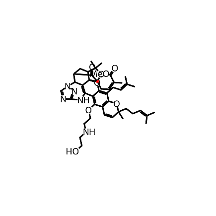 COC(=O)/C(C)=C\CC12OC(C)(C)C3CC(C1=O)C1C4=C(Nc5ncn1n5)c1c(OCCNCCO)c5c(c(CC=C(C)C)c1OC432)OC(C)(CCC=C(C)C)C=C5